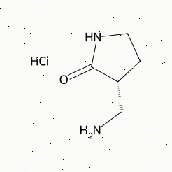 Cl.NC[C@H]1CCNC1=O